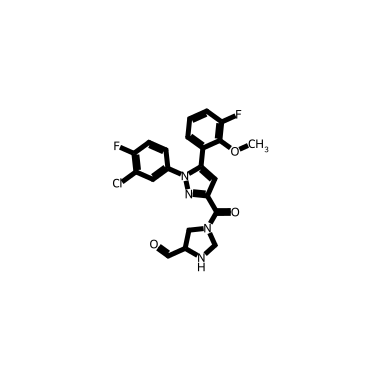 COc1c(F)cccc1-c1cc(C(=O)N2CNC(C=O)C2)nn1-c1ccc(F)c(Cl)c1